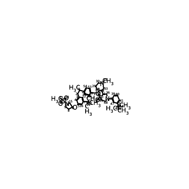 CC(Cc1cc(OC2CCN(S(C)(=O)=O)C2)cc(C(C)(C)C)c1)c1ccc(CN2CCN(C)CC2C2CN(c3cccc(C(C)(C)C)c3)CCS2(=O)=O)cc1